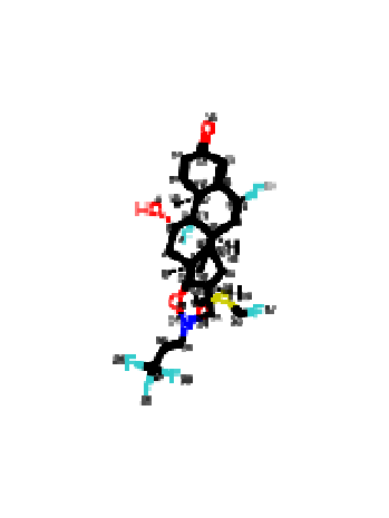 C[C@]12C[C@H](O)[C@@]3(F)[C@@H](C[C@H](F)C4=CC(=O)C=C[C@@]43C)[C@]1(C)C[C@H]1CN(CCC(F)(F)F)O[C@]12C(=O)SCF